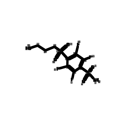 NS(=O)(=O)c1c(F)c(F)c(S(=O)(=O)CCCO)c(F)c1F